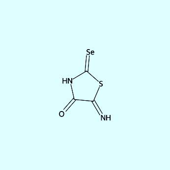 N=C1SC(=[Se])NC1=O